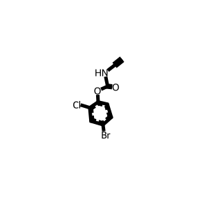 C#CNC(=O)Oc1ccc(Br)cc1Cl